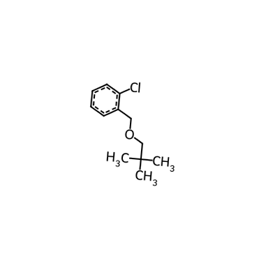 CC(C)(C)COCc1ccccc1Cl